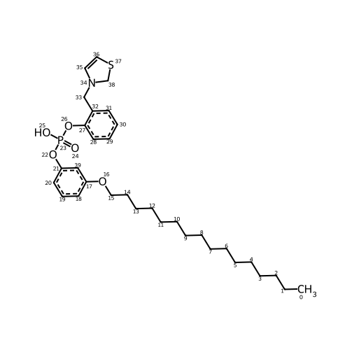 CCCCCCCCCCCCCCCCOc1cccc(OP(=O)(O)Oc2ccccc2CN2C=CSC2)c1